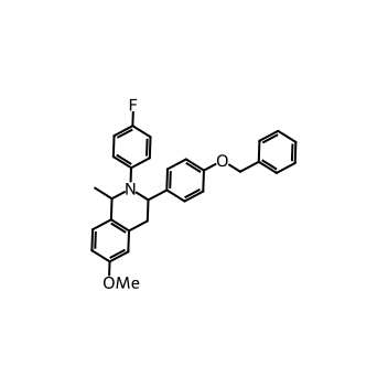 COc1ccc2c(c1)CC(c1ccc(OCc3ccccc3)cc1)N(c1ccc(F)cc1)C2C